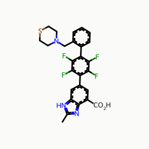 Cc1nc2c(C(=O)O)cc(-c3c(F)c(F)c(-c4ccccc4CN4CCSCC4)c(F)c3F)cc2[nH]1